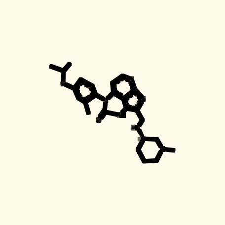 Cc1cc(OC(C)C)ccc1N1C(=O)Nc2c(CN[C@@H]3CCCN(C)C3)sc3nccc1c23